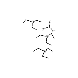 CC[Si+](CC)CC.CC[Si+](CC)CC.CC[Si+](CC)CC.[O-]B([O-])[O-]